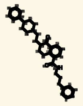 O=C(NCCCc1ccccc1)c1cccc2c1CCC(CCN1CCC(c3ccccc3)CC1)C2=O